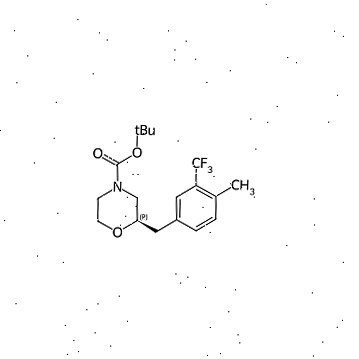 Cc1ccc(C[C@@H]2CN(C(=O)OC(C)(C)C)CCO2)cc1C(F)(F)F